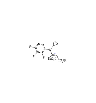 CCOC(=O)/C=C(\C(=O)OCC)N(c1ccc(F)c(F)c1F)C1CC1